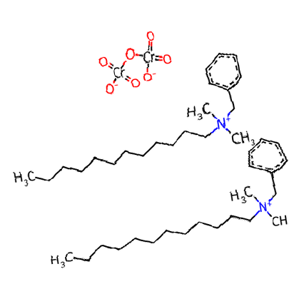 CCCCCCCCCCCC[N+](C)(C)Cc1ccccc1.CCCCCCCCCCCC[N+](C)(C)Cc1ccccc1.[O]=[Cr](=[O])([O-])[O][Cr](=[O])(=[O])[O-]